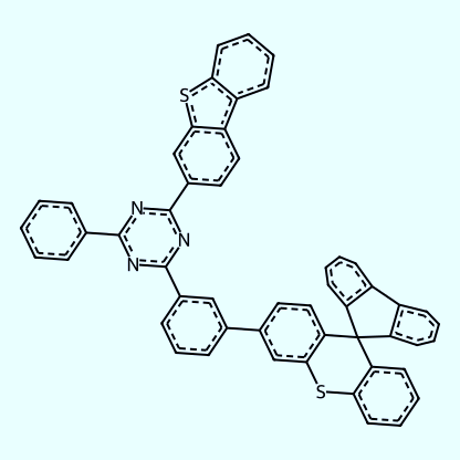 c1ccc(-c2nc(-c3cccc(-c4ccc5c(c4)Sc4ccccc4C54c5ccccc5-c5ccccc54)c3)nc(-c3ccc4c(c3)sc3ccccc34)n2)cc1